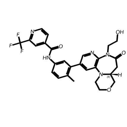 Cc1ccc(NC(=O)c2ccnc(C(F)(F)F)c2)cc1-c1cnc2c(c1)N1CCOC[C@H]1CC(=O)N2CCO